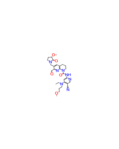 CCN(CCCOC)c1cc(NC(=O)N2CCCc3cc(CN4CCC(OC)C4=O)c(C=O)nc32)ncc1C#N